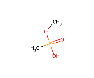 [CH2]P(=O)(O)OC